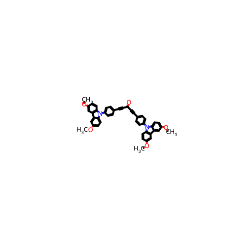 COc1ccc2c(c1)c1cc(OC)ccc1n2-c1ccc(C#CC(=O)C#Cc2ccc(-n3c4ccc(OC)cc4c4cc(OC)ccc43)cc2)cc1